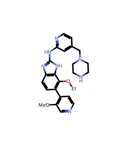 CCOc1c(-c2ccncc2OC)ccc2nc(Nc3cc(CN4CCNCC4)ccn3)[nH]c12